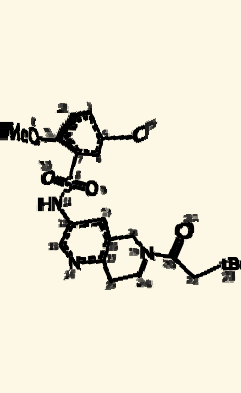 COc1ccc(Cl)cc1S(=O)(=O)Nc1cnc2c(c1)CN(C(=O)CC(C)(C)C)CC2